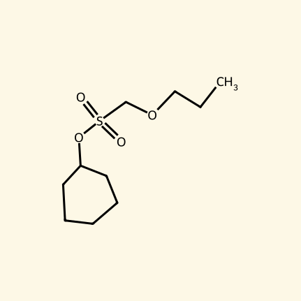 CCCOCS(=O)(=O)OC1CCCCC1